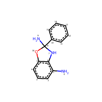 Nc1cccc2c1NC(N)(c1ccccc1)O2